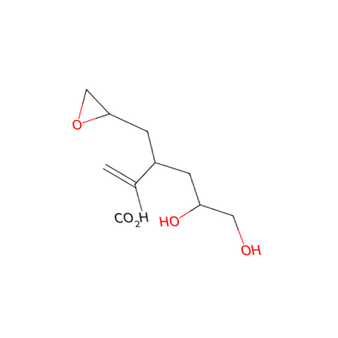 C=C(C(=O)O)C(CC(O)CO)CC1CO1